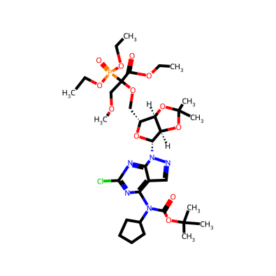 CCOC(=O)C(COC)(OC[C@H]1O[C@@H](n2ncc3c(N(C(=O)OC(C)(C)C)C4CCCC4)nc(Cl)nc32)[C@@H]2OC(C)(C)O[C@@H]21)P(=O)(OCC)OCC